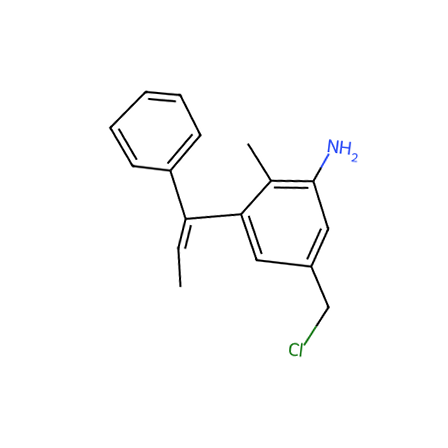 C/C=C(/c1ccccc1)c1cc(CCl)cc(N)c1C